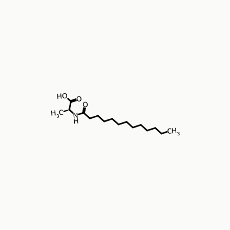 CCCCCCCCCCCCC(=O)N[C@@H](C)C(=O)O